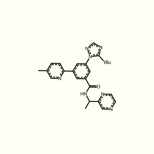 Cc1ccc(-c2cc(C(=O)NC(C)c3cnccn3)cc(-n3ncnc3C(C)(C)C)c2)nc1